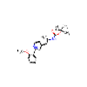 C=C(/C=C(\C=C/N)CCc1ccccc1OC)NC(=O)OC(C)(C)C